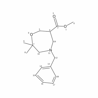 COC(=O)C1COC(C)(C)CN(Cc2ccccc2)C1